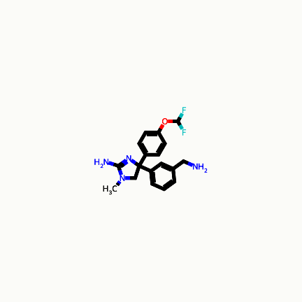 CN1CC(c2ccc(OC(F)F)cc2)(c2cccc(CN)c2)N=C1N